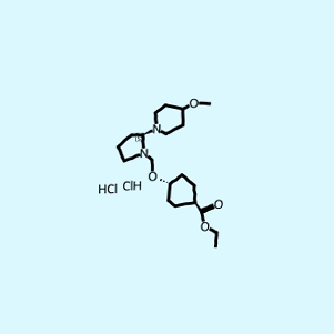 CCOC(=O)[C@H]1CC[C@H](OCN2CCC[C@H]2N2CCC(OC)CC2)CC1.Cl.Cl